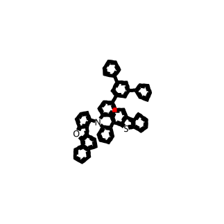 c1ccc(-c2cc(-c3ccccc3)cc(-c3ccc(N(c4ccccc4-c4cccc5c4sc4ccccc45)c4cccc5oc6c7ccccc7ccc6c45)cc3)c2)cc1